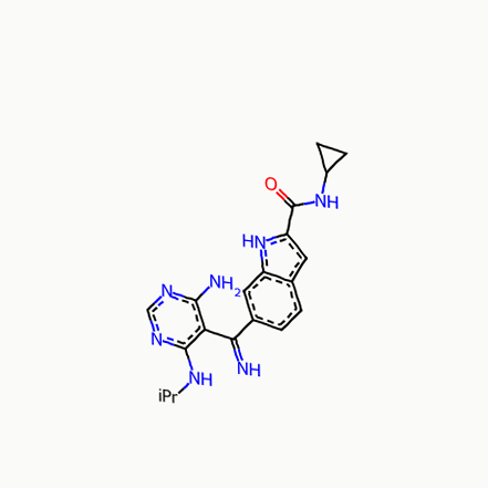 CC(C)Nc1ncnc(N)c1C(=N)c1ccc2cc(C(=O)NC3CC3)[nH]c2c1